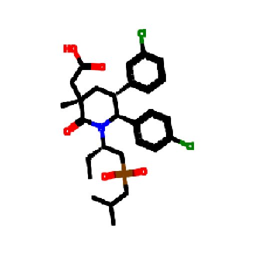 CC[C@@H](CS(=O)(=O)CC(C)C)N1C(=O)[C@](C)(CC(=O)O)C[C@H](c2cccc(Cl)c2)[C@H]1c1ccc(Cl)cc1